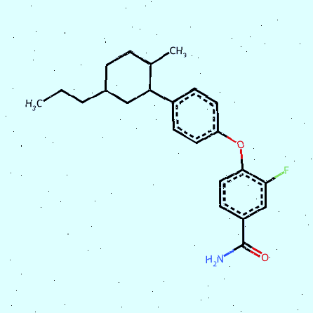 CCCC1CCC(C)C(c2ccc(Oc3ccc(C(N)=O)cc3F)cc2)C1